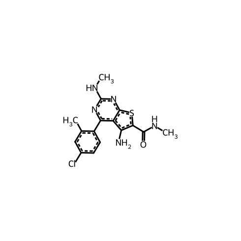 CNC(=O)c1sc2nc(NC)nc(-c3ccc(Cl)cc3C)c2c1N